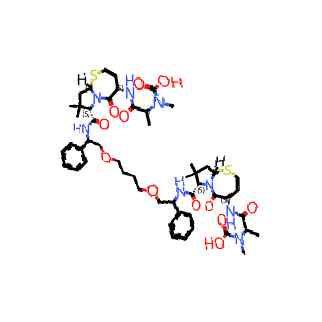 CC(C(=O)N[C@H]1CCS[C@H]2CC(C)(C)[C@@H](C(=O)NC(COCCCCOCC(NC(=O)[C@H]3N4C(=O)[C@@H](NC(=O)C(C)N(C)C(=O)O)CCS[C@H]4CC3(C)C)c3ccccc3)c3ccccc3)N2C1=O)N(C)C(=O)O